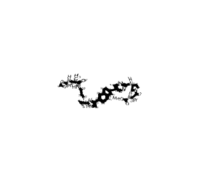 COC(=O)N[C@H](C(=O)N1CCC(Nc2ncc(-c3ccc4cc(-c5c[nH]c([C@]6(CCCNC(=O)[C@](C)(NC7OCO7)C(C)C)CS6)n5)ccc4c3)cn2)C1)C(C)C